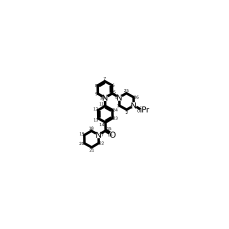 CC(C)N1CCN(C2=CC=CCN2c2ccc(C(=O)N3CCCCC3)cc2)CC1